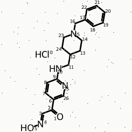 Cl.O=C(C=NO)c1ccc(NCC2CCN(Cc3ccccc3)CC2)nc1